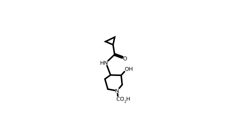 O=C(NC1CCN(C(=O)O)CC1O)C1CC1